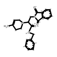 CC1=CCN(C(CN2C(=O)c3ccccc3C2=O)C(=O)OCc2ccccc2)CC1